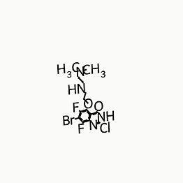 CN(C)CCNCCOc1c(F)c(Br)c(F)c2nc(Cl)[nH]c(=O)c12